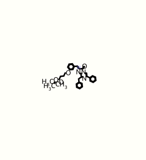 CC(C)(C)OC(=O)CCCOc1cccc(/C=C2\N=C3C(Cc4ccccc4)=NC(c4ccccc4)=CN3C2=O)c1